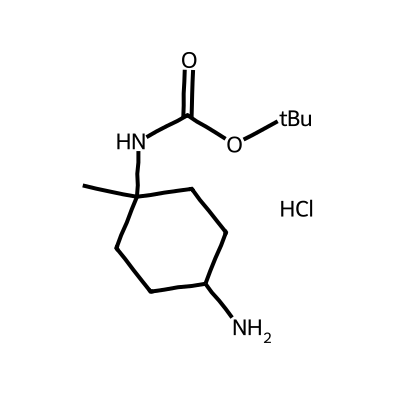 CC1(NC(=O)OC(C)(C)C)CCC(N)CC1.Cl